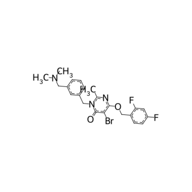 Cc1nc(OCc2ccc(F)cc2F)c(Br)c(=O)n1Cc1cccc(CN(C)C)c1